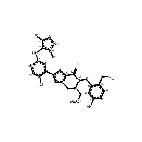 COC[C@H]1Cn2cc(-c3cc(Nc4c(F)cnn4C)ncc3Cl)cc2C(=O)N1Cc1cc(F)ccc1CO